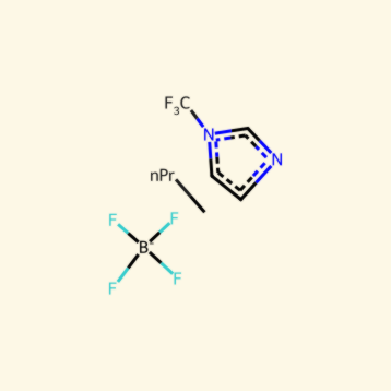 CCCC.FC(F)(F)n1ccnc1.F[B-](F)(F)F